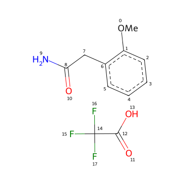 COc1ccccc1CC(N)=O.O=C(O)C(F)(F)F